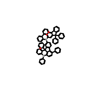 c1ccc(-c2ccccc2N(c2ccc3c(c2)C(c2ccccc2)(c2ccccc2)c2ccccc2-3)c2ccc3c(c2)C2(c4ccccc4)c4ccccc4N(c4ccccc4)c4ccc(-c5ccccc5)c-3c42)cc1